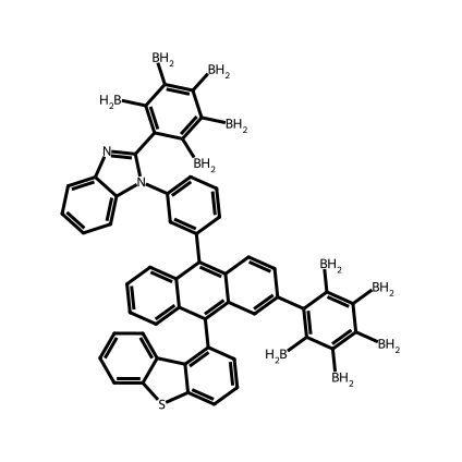 Bc1c(B)c(B)c(-c2ccc3c(-c4cccc(-n5c(-c6c(B)c(B)c(B)c(B)c6B)nc6ccccc65)c4)c4ccccc4c(-c4cccc5sc6ccccc6c45)c3c2)c(B)c1B